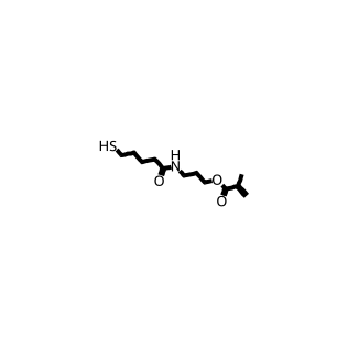 C=C(C)C(=O)OCCCNC(=O)CCCCS